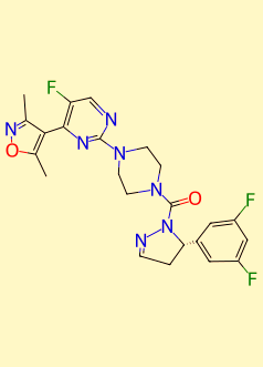 Cc1noc(C)c1-c1nc(N2CCN(C(=O)N3N=CC[C@H]3c3cc(F)cc(F)c3)CC2)ncc1F